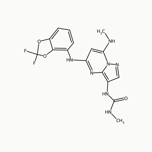 CNC(=O)Nc1cnn2c(NC)cc(Nc3cccc4c3OC(F)(F)O4)nc12